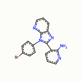 Nc1ncccc1-c1nc2cccnc2n1-c1ccc(Br)cc1